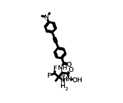 CN(C)c1ccc(C#Cc2ccc(C(=O)N[C@H](C(=O)NO)C(C)(N)C(F)F)cc2)cc1